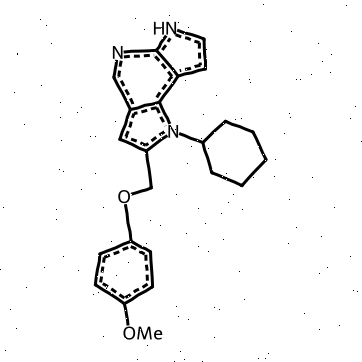 COc1ccc(OCc2cc3cnc4[nH]ccc4c3n2C2CCCCC2)cc1